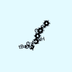 CC(C)(C)OC(=O)N1CCC[C@H]1CN1CCc2[nH]c3cc(-n4ccc(OCc5ccccc5)cc4=O)ccc3c2C1